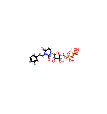 O=c1ccn([C@@H]2O[C@H](COP(=O)(O)OP(=O)(O)O)[C@H](O)[C@@H]2O)c(=O)n1CCc1cccc(F)c1